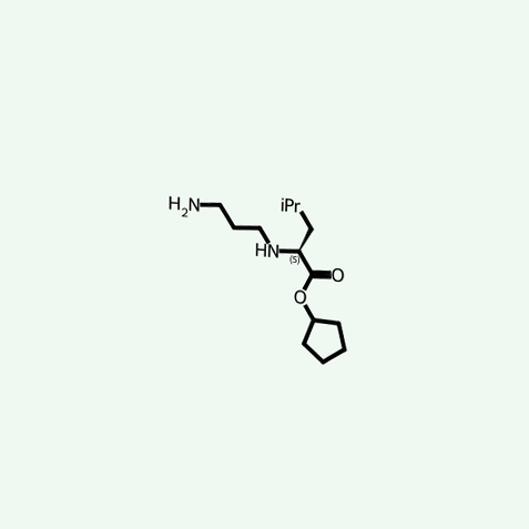 CC(C)C[C@H](NCCCN)C(=O)OC1CCCC1